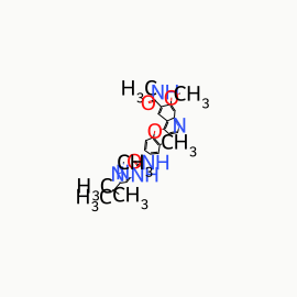 CNC(=O)c1cc2c(Oc3ccc(NC(=O)Nc4cc(C(C)(C)C)nn4C)cc3C)ccnc2cc1OC